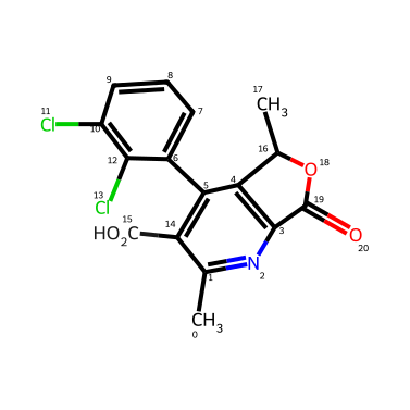 Cc1nc2c(c(-c3cccc(Cl)c3Cl)c1C(=O)O)C(C)OC2=O